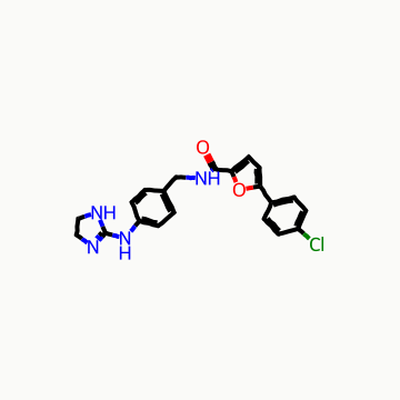 O=C(NCc1ccc(NC2=NCCN2)cc1)c1ccc(-c2ccc(Cl)cc2)o1